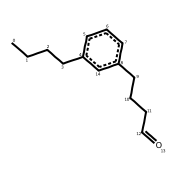 CCCCc1cccc(CCCC=O)c1